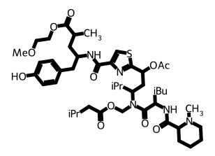 CCC(C)C(NC(=O)C1CCCCN1C)C(=O)N(COC(=O)CC(C)C)C(CC(OC(C)=O)c1nc(C(=O)NC(Cc2ccc(O)cc2)CC(C)C(=O)OCCOC)cs1)C(C)C